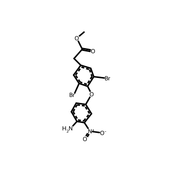 COC(=O)Cc1cc(Br)c(Oc2ccc(N)c([N+](=O)[O-])c2)c(Br)c1